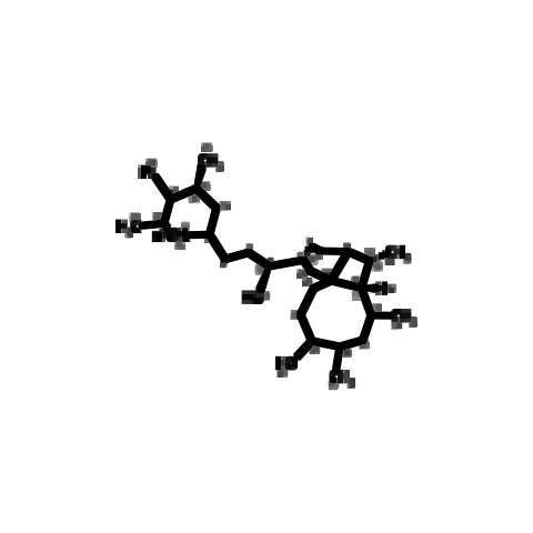 CCCCCC(CC[C@H](O)[C@@H]1CCC2[C@H](C)[C@@H]3C(C)CC(C)C(O)CCC23C1)C[C@H](C)C(C(C)C)C(C)O